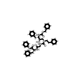 O=C(CNC(=O)N(CCc1ccccc1)C[C@@H](O)[C@H](Cc1ccccc1)NC(=O)OCc1ccccc1)N[C@@H](Cc1ccccc1)C(=O)Nc1ccccc1